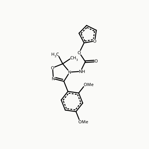 COc1ccc(C2=NOC(C)(C)N2NC(=O)Oc2ccco2)c(OC)c1